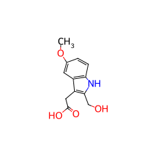 COc1ccc2[nH]c(CO)c(CC(=O)O)c2c1